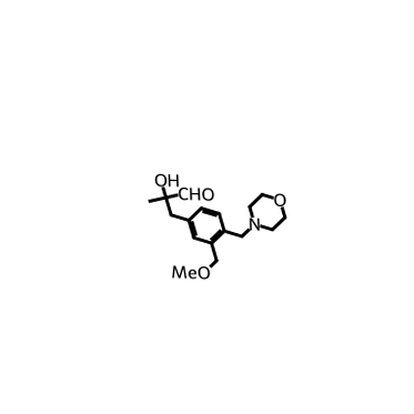 COCc1cc(CC(C)(O)C=O)ccc1CN1CCOCC1